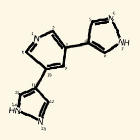 c1ncc(-c2cn[nH]c2)cc1-c1cn[nH]c1